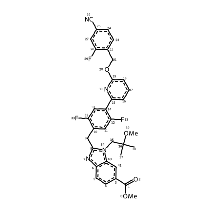 COC(=O)c1ccc2nc(Cc3cc(F)c(-c4cccc(OCc5ccc(C#N)cc5F)n4)cc3F)n(CC(C)(C)OC)c2c1